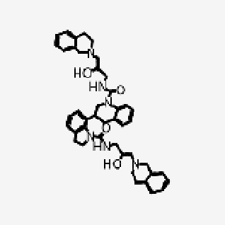 O=C(NCC(O)CN1CCc2ccccc2C1)N1CC(c2cccc3c2N(C(=O)NCC(O)CN2CCc4ccccc4C2)CC3)Cc2ccccc21